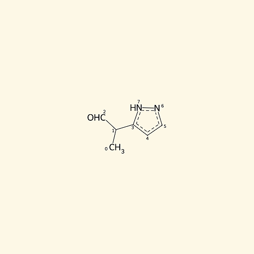 CC(C=O)c1ccn[nH]1